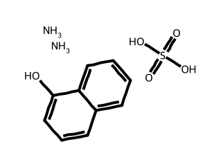 N.N.O=S(=O)(O)O.Oc1cccc2ccccc12